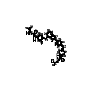 CC(=O)CNC(=O)N1CCN(Cc2ccc(-c3cc4nccc(Cc5ccc(NC(=O)NC6CC6)cc5F)c4s3)nc2)CC1